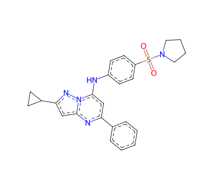 O=S(=O)(c1ccc(Nc2cc(-c3ccccc3)nc3cc(C4CC4)nn23)cc1)N1CCCC1